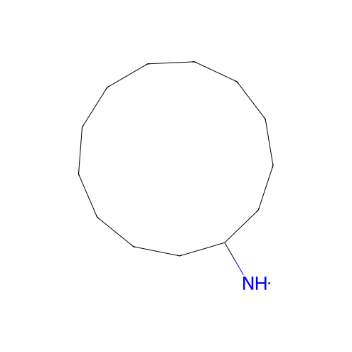 [NH]C1CCCCCCCCCCCC1